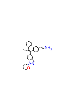 CC/C(=C(/c1ccc(/C=C/N)cc1)c1ccc2c(cnn2C2CCCCO2)c1)c1ccccc1